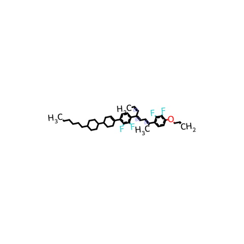 C=CCOc1ccc(/C(C)=C/C=C(\C=C/C)c2ccc(C3=CCC(C4CCC(CCCCCC)CC4)CC3)c(F)c2F)c(F)c1F